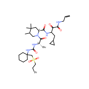 C=CCNC(=O)C(=O)C(CC1CC1)NC(=O)[C@@H]1CC(C)(C)C(C)CN1C(=O)[C@@H](NC(=O)NC1(CS(=O)(=O)CCC(C)C)CCCCC1)C(C)(C)C